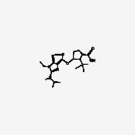 CCn1c(N(C)C(C)C)nc2c(OC3CCN(C(=O)O)C3C(C)(C)C)ncnc21